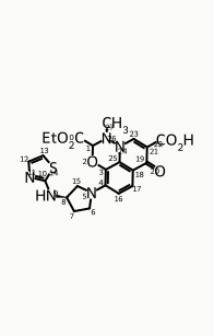 CCOC(=O)C1Oc2c(N3CC[C@@H](Nc4nccs4)C3)ccc3c(=O)c(C(=O)O)cn(c23)N1C